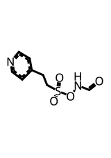 O=CNOS(=O)(=O)CCc1ccncc1